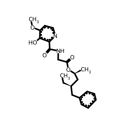 CC[C@H](Cc1ccccc1)C[C@H](C)OC(=O)CNC(=O)c1nccc(OC)c1O